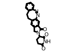 O=C1CCC(N2Cc3cc4c(cc3C2=O)/N=N\c2ccccc2CC4)C(=O)N1